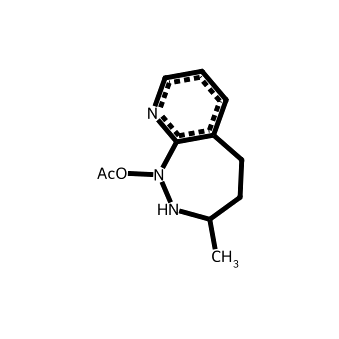 CC(=O)ON1NC(C)CCc2cccnc21